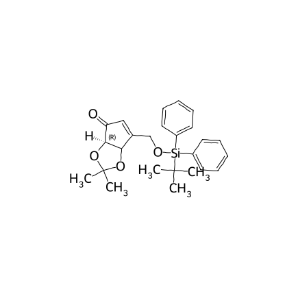 CC1(C)OC2C(CO[Si](c3ccccc3)(c3ccccc3)C(C)(C)C)=CC(=O)[C@@H]2O1